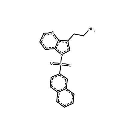 NCCc1cn(S(=O)(=O)c2ccc3ccccc3c2)c2cccnc12